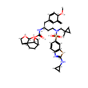 C=C1C=C(C[C@@H](CCN(CC2(C)CC2)S(=O)(=O)c2ccc3nc(NC4CC4)sc3c2)NC(=O)OC2C3CCC4C(OC3)OCC42)C=CC1OC